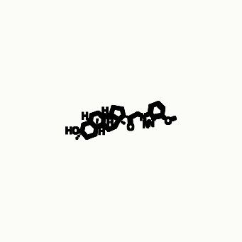 COc1cccc2c1nnn2CC(=O)[C@H]1CC[C@H]2[C@@H]3CC[C@H]4C[C@](C)(O)CC[C@]4(C)[C@H]3CC[C@]12C